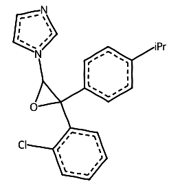 CC(C)c1ccc(C2(c3ccccc3Cl)OC2n2ccnc2)cc1